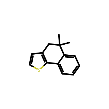 CC1(C)Cc2ccsc2-c2ccccc21